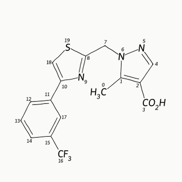 Cc1c(C(=O)O)cnn1Cc1nc(-c2cccc(C(F)(F)F)c2)cs1